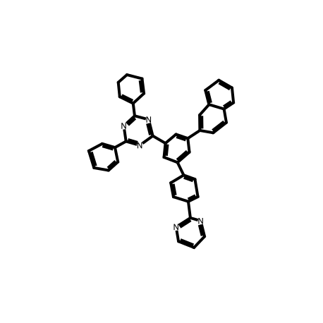 C1=CC(c2nc(-c3ccccc3)nc(-c3cc(-c4ccc(-c5ncccn5)cc4)cc(-c4ccc5ccccc5c4)c3)n2)=CCC1